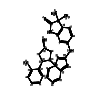 CC1(C)C(=O)Nc2cc(NC3=N[N+]4(N5C[C@H](O)C[C@@H]5c5ccccc5C(F)(F)F)C=CN=CC4=N3)ccc21